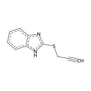 C#CCSc1nc2ccccc2[nH]1